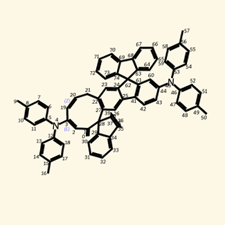 C=C1/C=C(N(c2ccc(C)cc2)c2ccc(C)cc2)\C=C/Cc2cc3c(cc2C12c1ccccc1-c1ccccc12)-c1ccc(N(c2ccc(C)cc2)c2ccc(C)cc2)cc1C31c2ccccc2-c2ccccc21